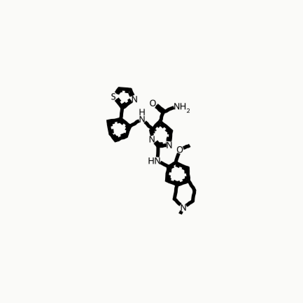 COc1cc2c(cc1Nc1ncc(C(N)=O)c(Nc3ccccc3-c3nccs3)n1)CN(C)CC2